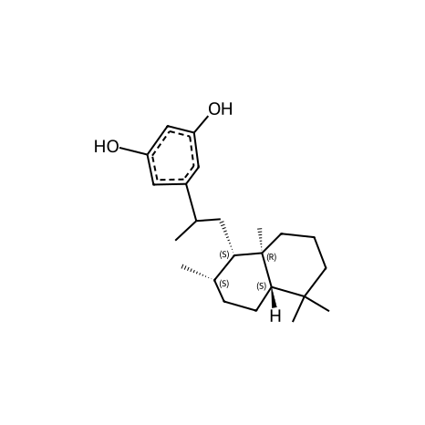 CC(C[C@H]1[C@@H](C)CC[C@H]2C(C)(C)CCC[C@]12C)c1cc(O)cc(O)c1